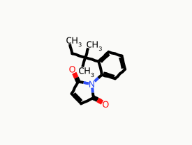 CCC(C)(C)c1ccccc1N1C(=O)C=CC1=O